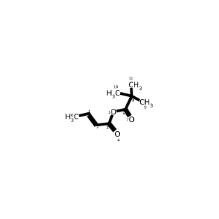 C/C=C/C(=O)OC(=O)C(C)(C)C